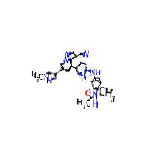 CC(=O)NC1(C)CC2CCC1CC2Nc1ccc(-c2cc(-c3cnn(C)c3)cn3ncc(C#N)c23)cn1